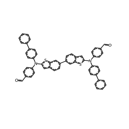 O=Cc1ccc(N(c2ccc(-c3ccccc3)cc2)c2cc3ccc(-c4ccc5cc(N(c6ccc(C=O)cc6)c6ccc(-c7ccccc7)cc6)sc5c4)cc3s2)cc1